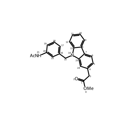 COC(=O)Cc1ccc2c3ccccc3n(Cc3cccc(NC(C)=O)c3)c2c1